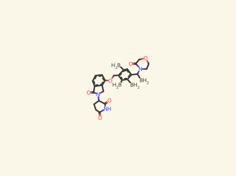 Bc1cc(C(B)N2CCOCC2=O)c(B)c(B)c1COc1cccc2c1CN(C1CCC(=O)NC1=O)C2=O